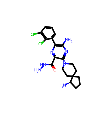 NNC(=O)c1nc(-c2cccc(Cl)c2Cl)c(N)nc1N1CCC2(CCC[C@H]2N)CC1